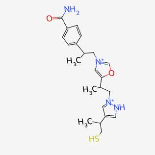 CC(CS)c1c[nH][n+](CC(C)c2c[n+](CC(C)c3ccc(C(N)=O)cc3)co2)c1